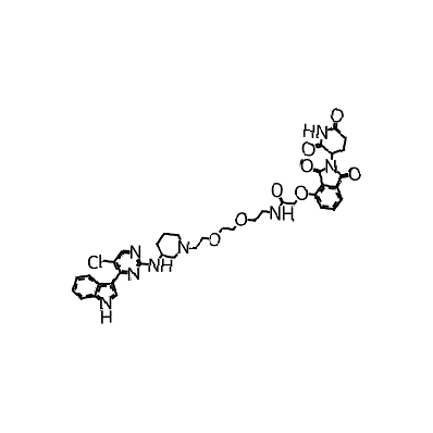 O=C(COc1cccc2c1C(=O)N(C1CCC(=O)NC1=O)C2=O)NCCOCCOCCN1CCCC(Nc2ncc(Cl)c(-c3c[nH]c4ccccc34)n2)C1